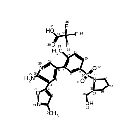 Cc1cc(-c2cc(-c3cc(S(=O)(=O)N4CCC[C@H]4CO)ccc3C)cnc2N)on1.O=C(O)C(F)(F)F